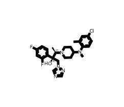 Cc1cc(Cl)ccc1N(C)C1CCN([C@H](C)[C@](O)(Cn2cncn2)c2ccc(F)cc2F)CC1